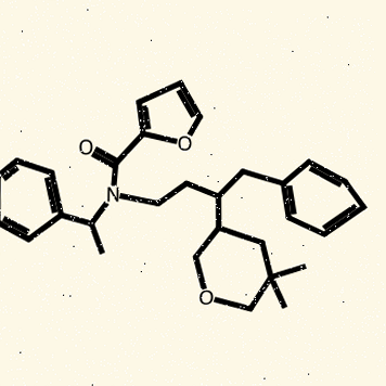 CC(c1ccccc1)N(CCC(Cc1ccccc1)C1COCC(C)(C)C1)C(=O)c1ccco1